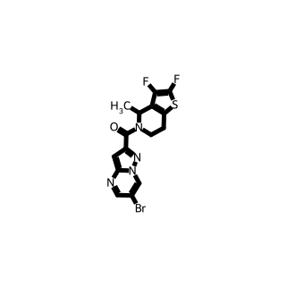 CC1c2c(sc(F)c2F)CCN1C(=O)c1cc2ncc(Br)cn2n1